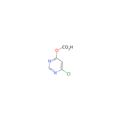 O=C(O)Oc1cc(Cl)ncn1